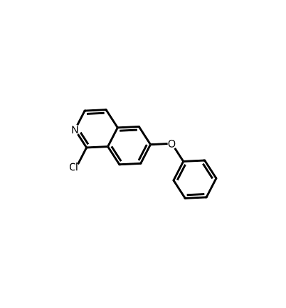 Clc1nccc2cc(Oc3ccccc3)ccc12